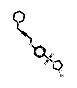 O=S(=O)(c1ccc(OCC#CCN2CCCCC2)cc1)N1CC[C@H](S)C1